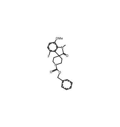 COc1ccc(F)c2c1N(C)C(=O)C21CCN(C(=O)OCc2ccccc2)CC1